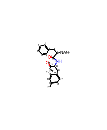 CNC(Cc1ccccc1)C(=O)NC(Cc1ccc(C)cc1)C(=O)C(C)C